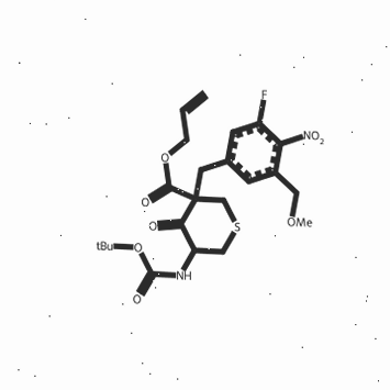 C=CCOC(=O)C1(Cc2cc(F)c([N+](=O)[O-])c(COC)c2)CSCC(NC(=O)OC(C)(C)C)C1=O